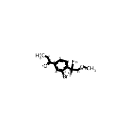 CCC(=O)c1ccc(C(F)(F)COC)c(Br)c1